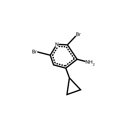 Nc1c(C2CC2)cc(Br)nc1Br